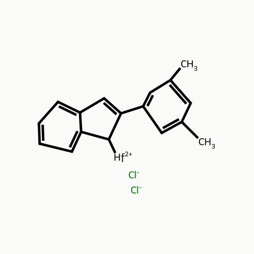 Cc1cc(C)cc(C2=Cc3ccccc3[CH]2[Hf+2])c1.[Cl-].[Cl-]